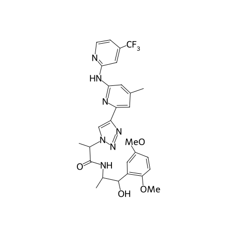 COc1ccc(OC)c(C(O)C(C)NC(=O)C(C)n2cc(-c3cc(C)cc(Nc4cc(C(F)(F)F)ccn4)n3)nn2)c1